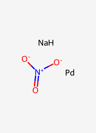 O=[N+]([O-])[O-].[NaH].[Pd]